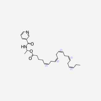 CC/C=C\C/C=C\C/C=C\C/C=C\C/C=C\CCCC(=O)OC(C)NC(=O)c1cccnc1